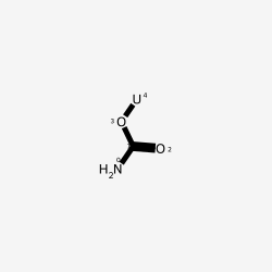 NC(=O)[O][U]